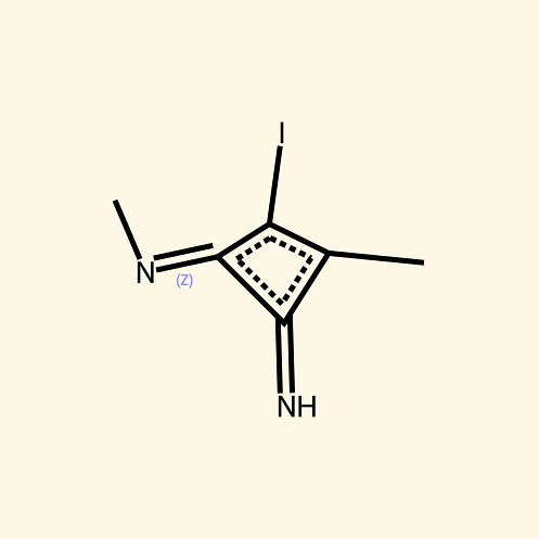 C/N=c1\c(I)c(C)c1=N